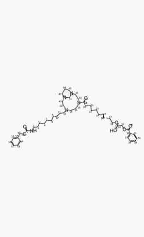 O=C(NCCCCCCCCCCN1CCCN(C(=O)CCCCCCCCCO[C@H](O)COC(=O)c2ccccc2)CCN2CCCN(CC1)C2)OCc1ccccc1